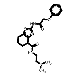 CN(C)CCNC(=O)C1CCCc2sc(NC(=O)COc3ccccc3)nc21